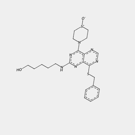 [O-][S+]1CCN(c2nc(NCCCCCO)nc3c(SCc4ccccc4)ncnc23)CC1